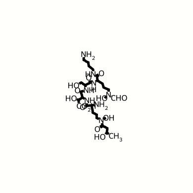 CC(O)CC(=O)N(O)CCCC(N)C(=O)NC(C(=O)NC(CO)C(=O)NC(CCCN(O)C=O)C(=O)NCCCCN)C(O)C(=O)O